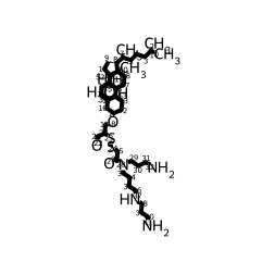 CC(C)CCC[C@@H](C)[C@H]1CC[C@H]2[C@@H]3CC=C4C[C@@H](OCC(C=O)SSCC(=O)N(CCCN)CCCCNCCCN)CC[C@]4(C)[C@H]3CC[C@]12C